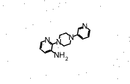 Nc1cccnc1N1CCN(c2cccnc2)CC1